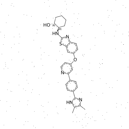 Cc1nc(-c2ccc(-c3cc(Oc4ccc5nc(N[C@@H]6CCCC[C@H]6O)sc5c4)ccn3)cc2)[nH]c1C